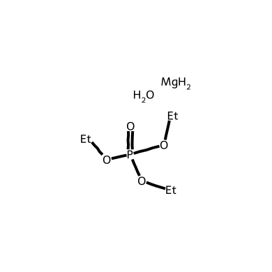 CCOP(=O)(OCC)OCC.O.[MgH2]